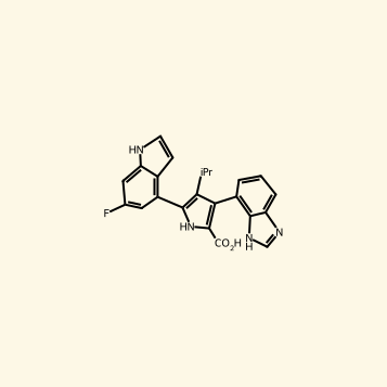 CC(C)c1c(-c2cc(F)cc3[nH]ccc23)[nH]c(C(=O)O)c1-c1cccc2nc[nH]c12